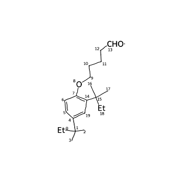 CCC(C)(C)c1ccc(OCCCC[C]=O)c(C(C)(C)CC)c1